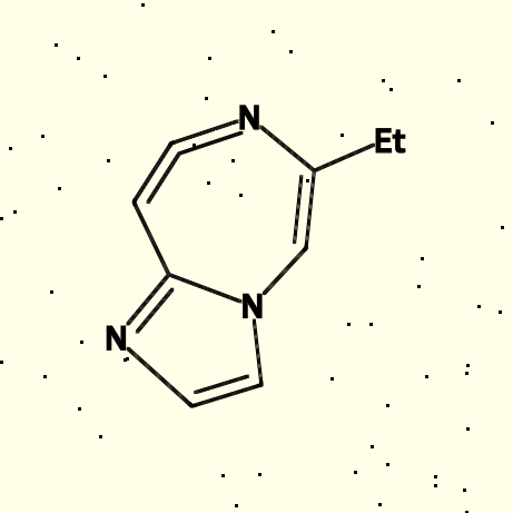 CCC1=Cn2ccnc2C=C=N1